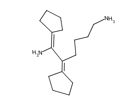 NCCCCC(=C1CCCC1)C(N)=C1CCCC1